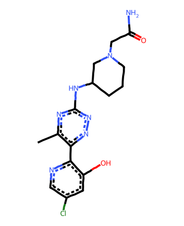 Cc1nc(NC2CCCN(CC(N)=O)C2)nnc1-c1ncc(Cl)cc1O